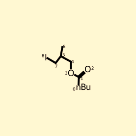 CCCCC(=O)OCC(C)CI